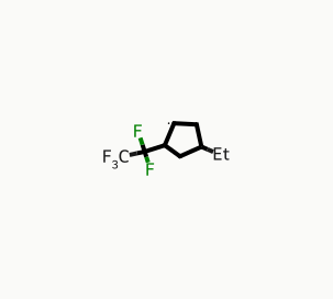 [CH2]CC1C[CH]C(C(F)(F)C(F)(F)F)C1